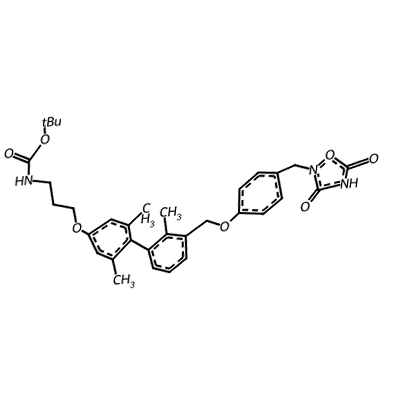 Cc1cc(OCCCNC(=O)OC(C)(C)C)cc(C)c1-c1cccc(COc2ccc(Cn3oc(=O)[nH]c3=O)cc2)c1C